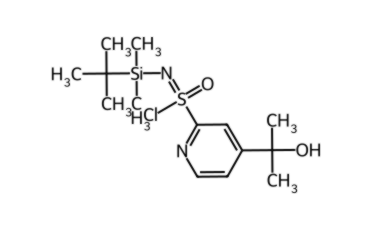 CC(C)(O)c1ccnc(S(=O)(Cl)=N[Si](C)(C)C(C)(C)C)c1